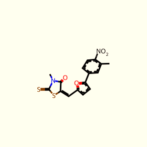 Cc1cc(-c2ccc(C=C3SC(=S)N(C)C3=O)o2)ccc1[N+](=O)[O-]